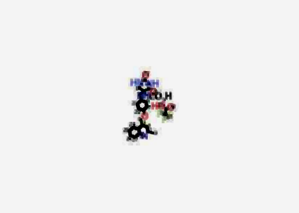 Cc1cc(COc2ccc(CC3(NC(=O)O)CNC(=O)NC3=O)cc2)c2ccccc2n1.O=C(O)C(F)(F)F